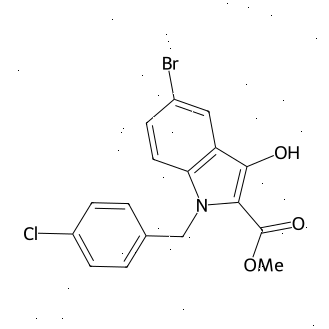 COC(=O)c1c(O)c2cc(Br)ccc2n1Cc1ccc(Cl)cc1